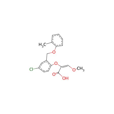 COC=C(Oc1ccc(Cl)cc1COc1ccccc1C)C(=O)O